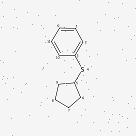 c1ccc(SC2CCCC2)cc1